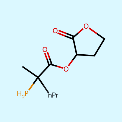 CCCC(C)(P)C(=O)OC1CCOC1=O